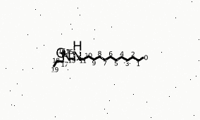 CCCCCCCCCCCCNC[N+](C)([O-])CCC